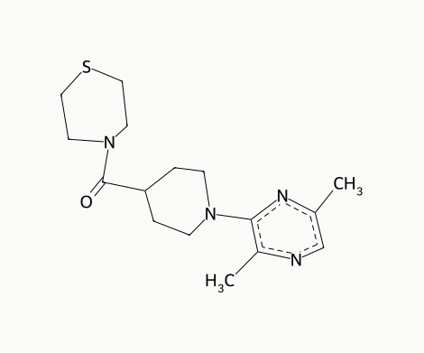 Cc1cnc(C)c(N2CCC(C(=O)N3CCSCC3)CC2)n1